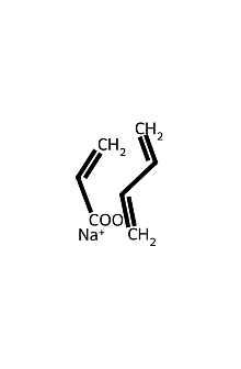 C=CC(=O)[O-].C=CC=C.[Na+]